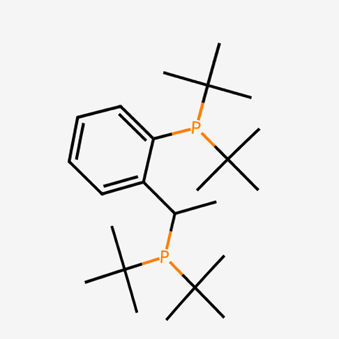 CC(c1ccccc1P(C(C)(C)C)C(C)(C)C)P(C(C)(C)C)C(C)(C)C